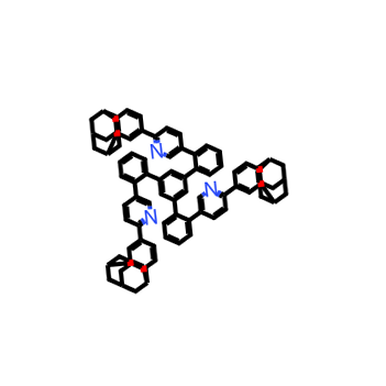 c1ccc(-c2cc(-c3ccccc3-c3ccc(-c4ccc5c(c4)C4CC6CC(CC5C6)C4)nc3)cc(-c3ccccc3-c3ccc(-c4ccc5c(c4)C4CC6CC(CC5C6)C4)nc3)c2)c(-c2ccc(-c3ccc4c(c3)C3CC5CC(CC4C5)C3)nc2)c1